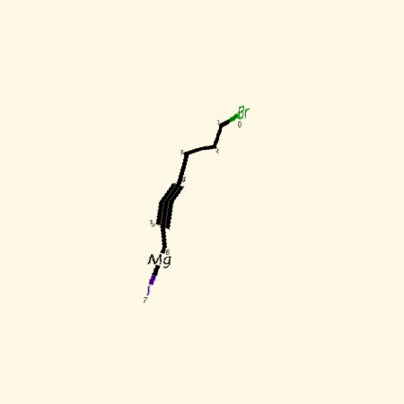 BrCCCC#[C][Mg][I]